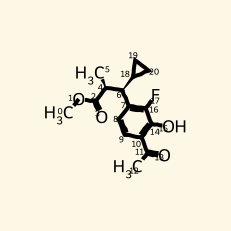 COC(=O)[C@@H](C)[C@H](c1ccc(C(C)=O)c(O)c1F)C1CC1